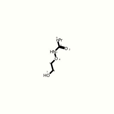 CCCC(=O)NOCCO